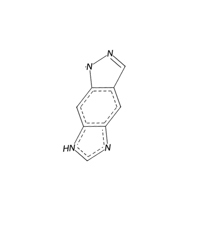 C1=N[N]c2cc3[nH]cnc3cc21